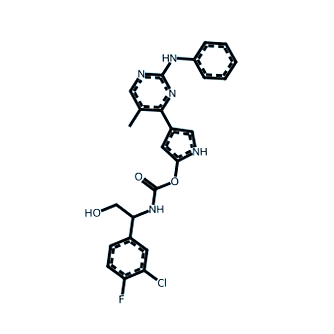 Cc1cnc(Nc2ccccc2)nc1-c1c[nH]c(OC(=O)NC(CO)c2ccc(F)c(Cl)c2)c1